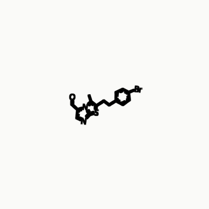 Cc1c(CCc2ccc(Br)cc2)sc2ncc(C=O)n12